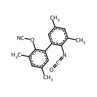 Cc1cc(C)c(N=C=O)c(-c2cc(C)cc(C)c2OC#N)c1